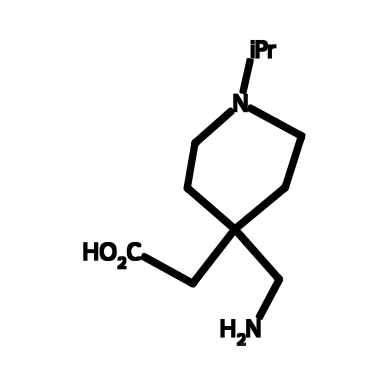 CC(C)N1CCC(CN)(CC(=O)O)CC1